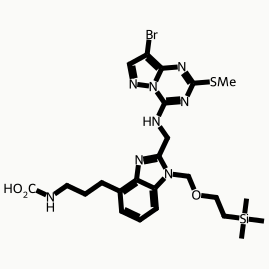 CSc1nc(NCc2nc3c(CCCNC(=O)O)cccc3n2COCC[Si](C)(C)C)n2ncc(Br)c2n1